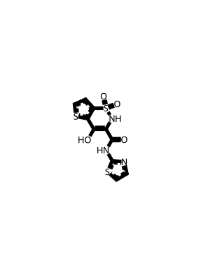 O=C(Nc1nccs1)C1=C(O)c2sccc2S(=O)(=O)N1